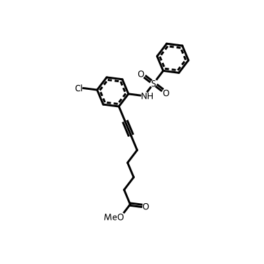 COC(=O)CCCCC#Cc1cc(Cl)ccc1NS(=O)(=O)c1ccccc1